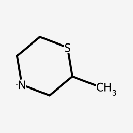 CC1C[N]CCS1